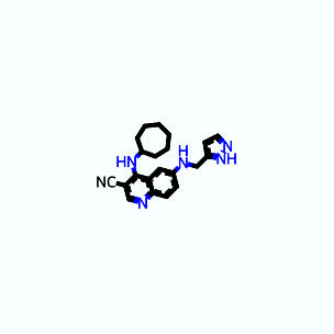 N#Cc1cnc2ccc(NCc3ccn[nH]3)cc2c1NC1CCCCCC1